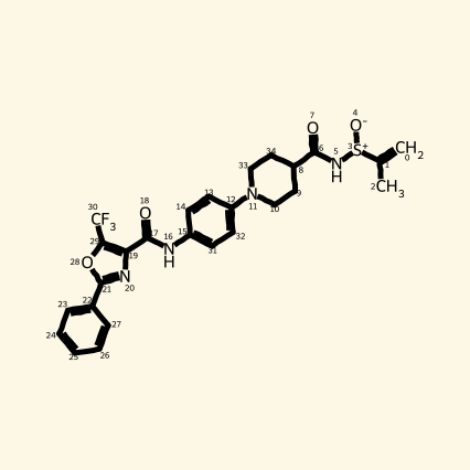 C=C(C)[S+]([O-])NC(=O)C1CCN(c2ccc(NC(=O)c3nc(-c4ccccc4)oc3C(F)(F)F)cc2)CC1